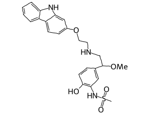 COC(CNCCOc1ccc2c(c1)[nH]c1ccccc12)c1ccc(O)c(NS(C)(=O)=O)c1